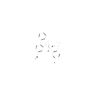 N#Cc1ccc(-c2cccc(F)c2)c(NS(=O)(=O)c2cc(C(=O)O)ccc2C2CC2)c1